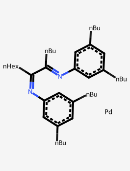 CCCCCCC(=Nc1cc(CCCC)cc(CCCC)c1)C(CCCC)=Nc1cc(CCCC)cc(CCCC)c1.[Pd]